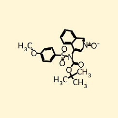 COc1ccc(S(=O)(=O)N(C(=O)OC(C)(C)C)c2c[n+]([O-])cc3ccccc23)cc1